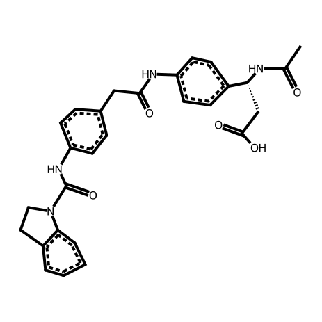 CC(=O)N[C@H](CC(=O)O)c1ccc(NC(=O)Cc2ccc(NC(=O)N3CCc4ccccc43)cc2)cc1